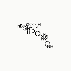 CCCCS(=O)(=O)N[C@@H](COc1ccc(-c2noc(C3CCNCC3)n2)cc1)C(=O)O